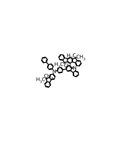 CC1(C)c2ccccc2-c2ccc(N(c3ccc(-c4ccccc4)cc3)c3ccc(-c4ccc5c(c4)c4ccccc4n5-c4cccc5c4-c4cc6c(cc4C5(C)C)-c4ccccc4C6(C)C)cc3)cc21